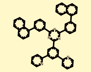 c1ccc(-c2cc(-c3ccccn3)cc(-c3nc(-c4cccc(-c5cccc6ccccc56)c4)nc(-c4cccc(-c5cccc6ccccc56)c4)n3)c2)nc1